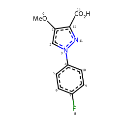 COc1cn(-c2ccc(F)cc2)nc1C(=O)O